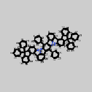 c1ccc(-c2c3c4cccc5c6c7c(ccc6n(c3c(-c3ccccc3)c3c6cccc8c9c%10c(ccc9n(c23)c86)C(c2ccccc2)(c2ccccc2)c2ccccc2-%10)c54)C(c2ccccc2)(c2ccccc2)c2ccccc2-7)cc1